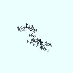 CCN[C@H]1C[C@H](C)S(=O)(=O)c2sc(S(=O)(=O)NC(C)(CC)C(=O)[C@H](C)OC(CC)(CC)C(=O)CCC(=O)Nc3ccc4c(c3)/C(=C/c3[nH]c(C)c(NCCN(CC)CC)c3C)C(=O)N4)cc21